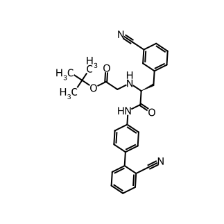 CC(C)(C)OC(=O)CN[C@@H](Cc1cccc(C#N)c1)C(=O)Nc1ccc(-c2ccccc2C#N)cc1